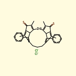 CC1=[C]2[Zr+2][C]3=C(C)C(=S)C4=C(C)C(=C(c5ccccc5)C34)CCCC3=C(c4ccccc4)C2C(=C3C)C1=S.[Cl-].[Cl-]